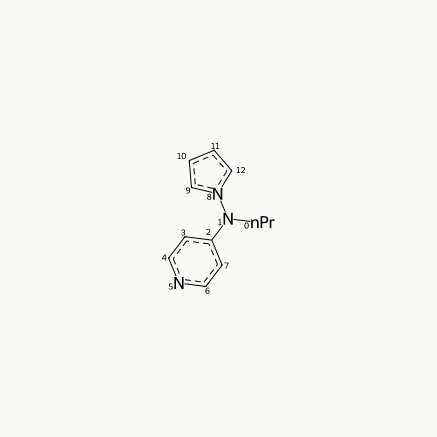 CCCN(c1ccncc1)n1cccc1